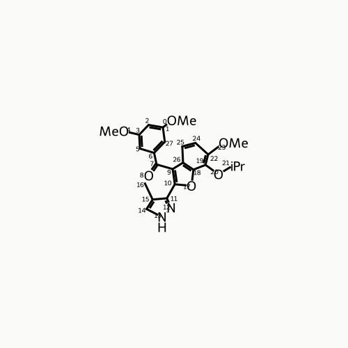 COc1cc(OC)cc(C(=O)c2c(-c3n[nH]cc3C)oc3c(OC(C)C)c(OC)ccc23)c1